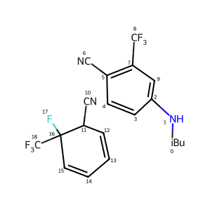 CCC(C)Nc1ccc(C#N)c(C(F)(F)F)c1.N#CC1C=CC=CC1(F)C(F)(F)F